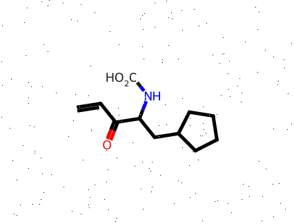 C=CC(=O)C(CC1CCCC1)NC(=O)O